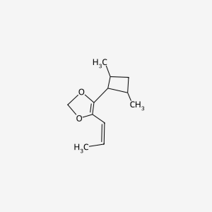 C/C=C\C1=C(C2C(C)CC2C)OCO1